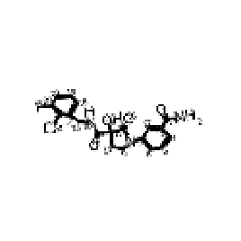 NC(=O)c1cccc(N2CCC(O)(C(=O)NCc3cccc(F)c3Cl)C2=O)c1